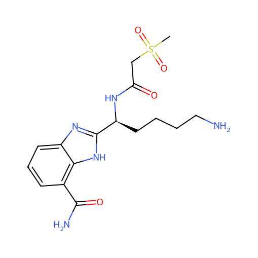 CS(=O)(=O)CC(=O)N[C@@H](CCCCN)c1nc2cccc(C(N)=O)c2[nH]1